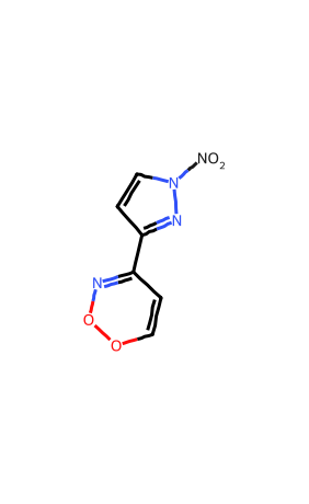 O=[N+]([O-])n1ccc(C2=NOOC=C2)n1